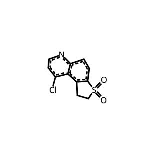 O=S1(=O)CCc2c1ccc1nccc(Cl)c21